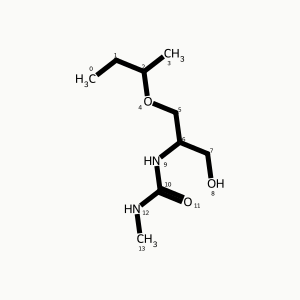 CCC(C)OCC(CO)NC(=O)NC